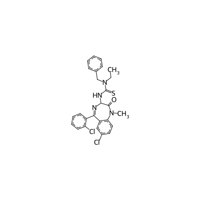 CCN(Cc1ccccc1)C(=S)NC1N=C(c2ccccc2Cl)c2cc(Cl)ccc2N(C)C1=O